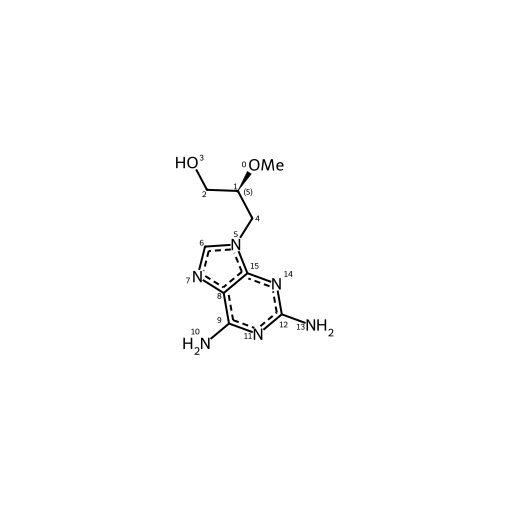 CO[C@H](CO)Cn1cnc2c(N)nc(N)nc21